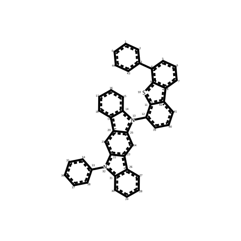 c1ccc(-c2cccc3c2sc2c(-n4c5ccccc5c5cc6c(cc54)c4ccccc4n6-c4ccccc4)cccc23)cc1